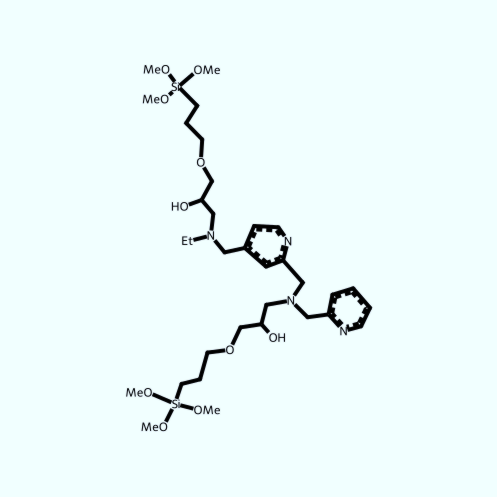 CCN(Cc1ccnc(CN(Cc2ccccn2)CC(O)COCCC[Si](OC)(OC)OC)c1)CC(O)COCCC[Si](OC)(OC)OC